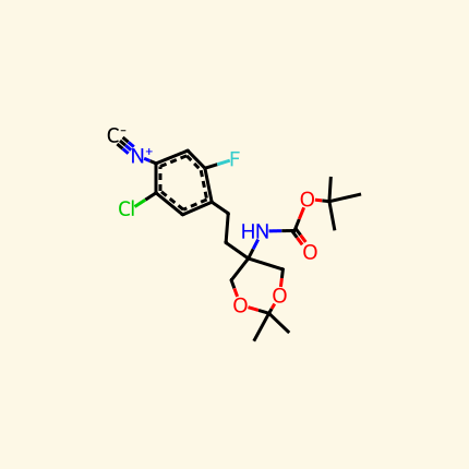 [C-]#[N+]c1cc(F)c(CCC2(NC(=O)OC(C)(C)C)COC(C)(C)OC2)cc1Cl